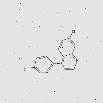 Fc1ccc(-c2ccnc3cc(Cl)ccc23)cc1